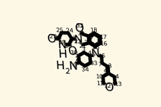 NC1CCC(N(CCC=C2CCOCC2)c2cccc3c2CN(C2CCC(=O)NC2=O)C3=O)CC1